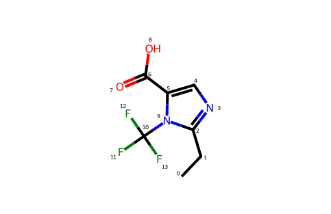 CCc1ncc(C(=O)O)n1C(F)(F)F